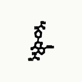 COc1ccc(NC(=O)C(C)(C)C)c2c(=O)cc(-c3ccc(NC(=O)C(C)(C)C)cc3)oc12